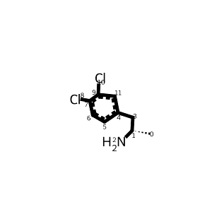 C[C@H](N)Cc1ccc(Cl)c(Cl)c1